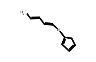 CC=CC=[CH][Ni][C]1=CC=CC1